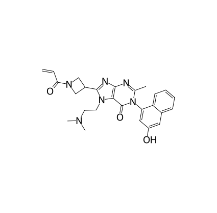 C=CC(=O)N1CC(c2nc3nc(C)n(-c4cc(O)cc5ccccc45)c(=O)c3n2CCN(C)C)C1